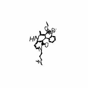 CCOC(=O)C1=C(C)Nc2ccn(CCCN(C)C)c(=O)c2C1c1ccccc1[N+](=O)[O-]